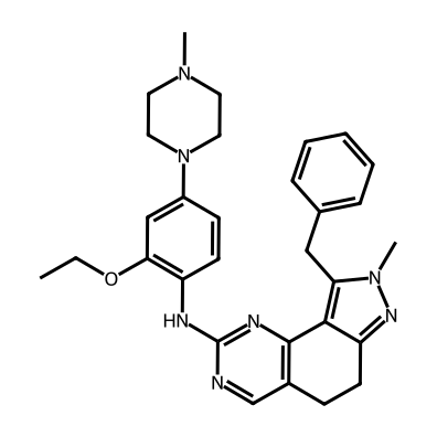 CCOc1cc(N2CCN(C)CC2)ccc1Nc1ncc2c(n1)-c1c(nn(C)c1Cc1ccccc1)CC2